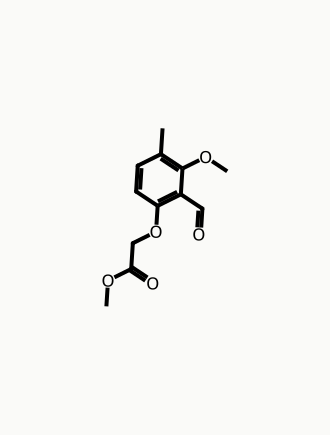 COC(=O)COc1ccc(C)c(OC)c1C=O